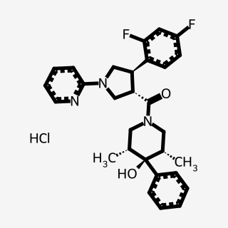 C[C@@H]1CN(C(=O)[C@@H]2CN(c3ccccn3)C[C@H]2c2ccc(F)cc2F)C[C@H](C)[C@]1(O)c1ccccc1.Cl